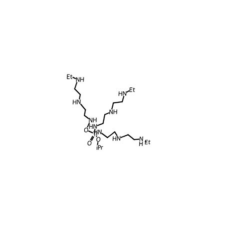 CCNCCNCCN[O][Ti](=[O])([NH]CCNCCNCC)([NH]CCNCCNCC)[O]C(C)C